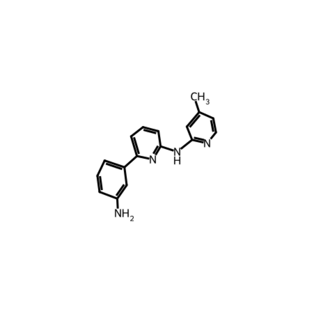 Cc1ccnc(Nc2cccc(-c3cccc(N)c3)n2)c1